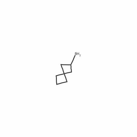 BC1CC2(CCC2)C1